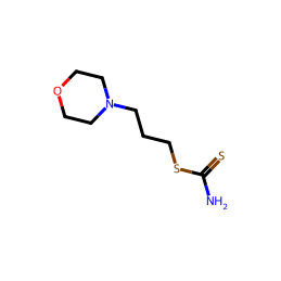 NC(=S)SCCCN1CCOCC1